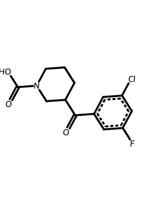 O=C(c1cc(F)cc(Cl)c1)C1CCCN(C(=O)O)C1